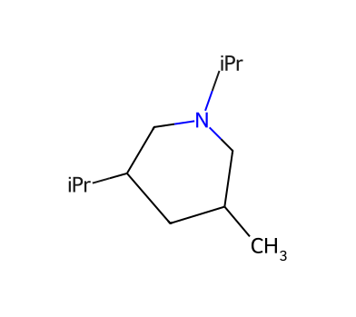 CC1CC(C(C)C)CN(C(C)C)C1